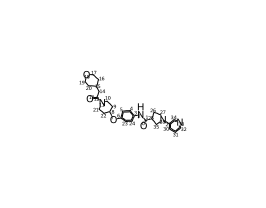 O=C(Nc1ccc(OC2CCN(C(=O)CC3CCOCC3)CC2)cc1)[C@H]1CCN(c2cccnc2)C1